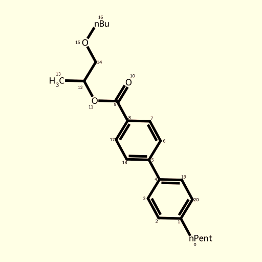 CCCCCc1ccc(-c2ccc(C(=O)OC(C)COCCCC)cc2)cc1